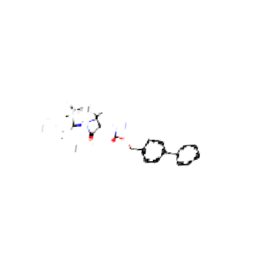 CC1(C)[C@H](NC(=O)OCc2ccc(-c3ccccc3)cc2)C(=O)N1C([Si](C)(C)C)[Si](C)(C)C